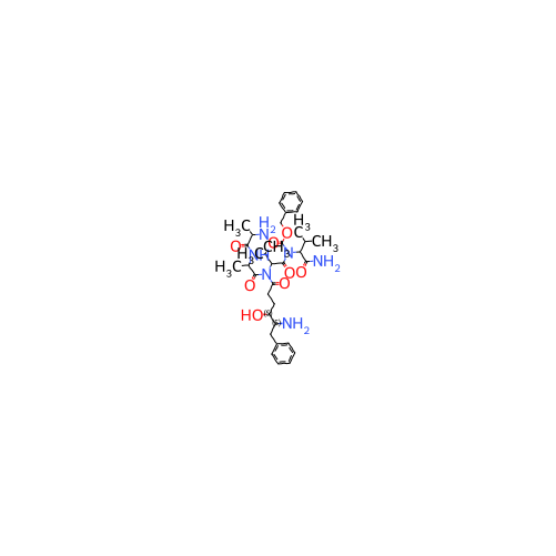 CC(N)C(=O)NC(C)C(=O)N(C(=O)CC[C@H](O)[C@@H](N)Cc1ccccc1)C(C(=O)N(C(=O)OCc1ccccc1)C(C(N)=O)C(C)C)C(C)C